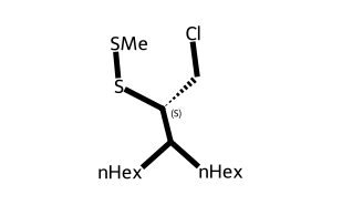 CCCCCCC(CCCCCC)[C@@H](CCl)SSC